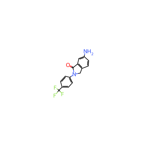 Nc1ccc2c(c1)C(=O)N(c1ccc(C(F)(F)F)cc1)C2